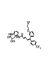 O=C(C=CC=C(c1ccc(C(F)(F)F)cc1)c1cccc(OCCC2CC2)c1)Nc1cccc2c1CC(O)C(=O)N2